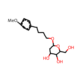 COc1ccc(CCCCOC2CC(O)C(O)C(CO)O2)cc1